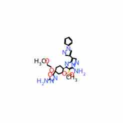 COCCO[C@]1(c2nnc(N)o2)CC[C@H](c2nc3c(-c4cnn(-c5ccccc5)c4)cnn3c(N)c2S(C)(=O)=O)CC1